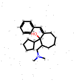 CN(C)CC1CCCC/C(=C/c2ccccc2)C1(O)C1CCCC1